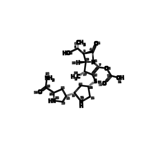 C[C@@H](O)[C@H]1C(=O)N2C(OC(=O)O)=C(S[C@@H]3CN[C@H](C4CNC(C(N)=O)C4)C3)[C@H](C)[C@H]12